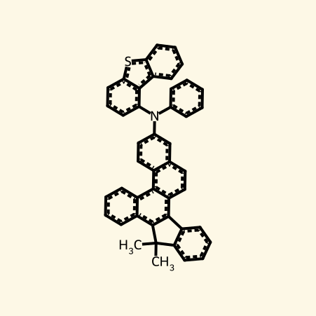 CC1(C)c2ccccc2-c2c1c1ccccc1c1c2ccc2cc(N(c3ccccc3)c3cccc4sc5ccccc5c34)ccc21